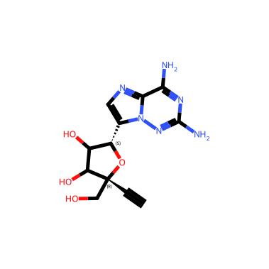 C#C[C@]1(CO)O[C@@H](c2cnc3c(N)nc(N)nn23)C(O)C1O